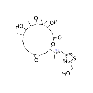 C/C(=C\c1csc(CO)n1)C1CC2OC2CCCC(C)C(O)C(C)C(=O)C(C)(C)C(O)CC(=O)O1